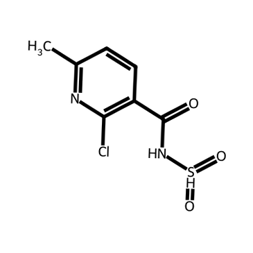 Cc1ccc(C(=O)N[SH](=O)=O)c(Cl)n1